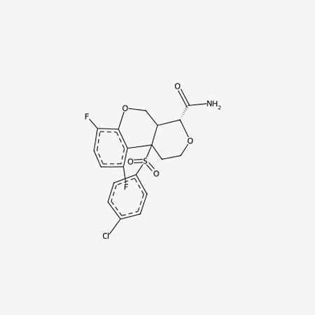 NC(=O)[C@@H]1OCCC2(S(=O)(=O)c3ccc(Cl)cc3)c3c(F)ccc(F)c3OCC12